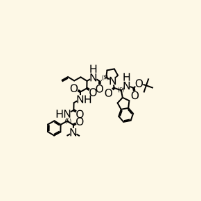 C=CCCC(NC(=O)[C@@H]1CCCN1C(=O)[C@@H](NC(=O)OC(C)(C)C)C1Cc2ccccc2C1)C(=O)C(=O)NCC(=O)N[C@H](C(=O)N(C)C)c1ccccc1